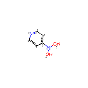 ON(O)c1ccncc1